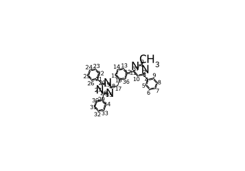 Cc1nc(-c2ccccc2)cc(-c2cccc(Cc3nc(-c4ccccc4)nc(-c4ccccc4)n3)c2)n1